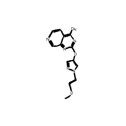 COCCn1cc(Oc2nc(O)c3ccncc3n2)cn1